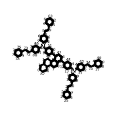 C1=CC2=CCc3c(ccc4c(-c5ccc(N(c6ccc(C=Cc7ccccc7)cc6)c6ccc(C=Cc7ccccc7)cc6)cc5)ccc(-c5ccc(N(c6ccc(C=Cc7ccccc7)cc6)c6ccc(C=Cc7ccccc7)cc6)cc5)c34)C2C=C1